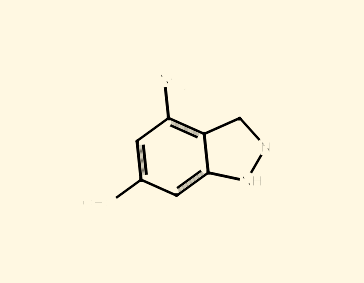 O=Cc1cc2c(c([N+](=O)[O-])c1)CNN2